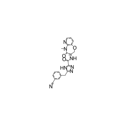 CN1C(=O)[C@@H](NC(=O)c2nnc(Cc3cccc(C#N)c3)[nH]2)COc2cccnc21